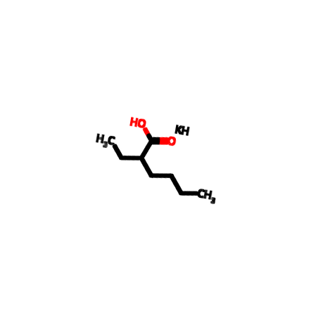 CCCCC(CC)C(=O)O.[KH]